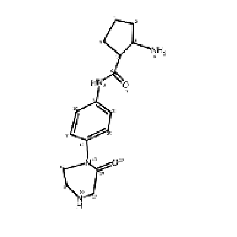 NC1CCCC1C(=O)Nc1ccc(N2CCNCC2=O)cc1